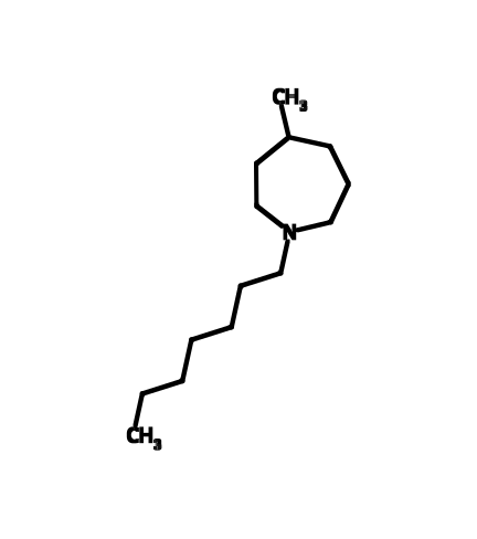 CCCCCCCN1CCCC(C)CC1